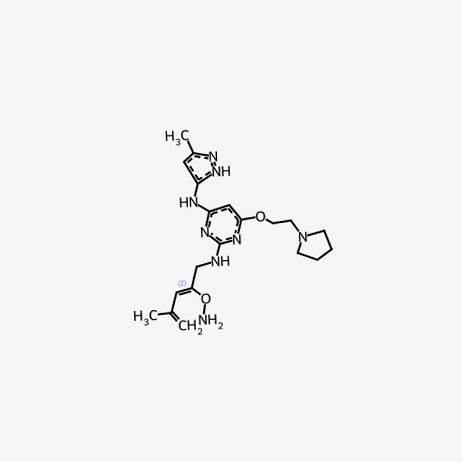 C=C(C)/C=C(/CNc1nc(Nc2cc(C)n[nH]2)cc(OCCN2CCCC2)n1)ON